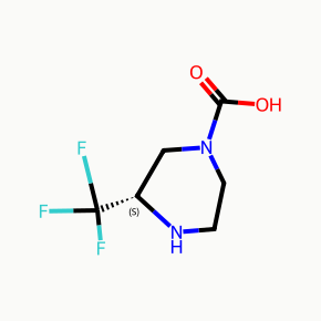 O=C(O)N1CCN[C@H](C(F)(F)F)C1